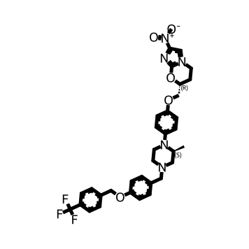 C[C@H]1CN(Cc2ccc(OCc3ccc(C(F)(F)F)cc3)cc2)CCN1c1ccc(OC[C@H]2CCn3cc([N+](=O)[O-])nc3O2)cc1